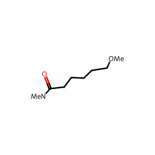 CNC(=O)CCCCCOC